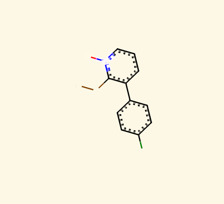 [O-][n+]1cccc(-c2ccc(Cl)cc2)c1SS